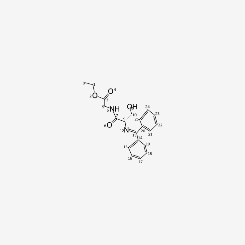 CCOC(=O)CNC(=O)[C@H](CO)N=C(c1ccccc1)c1ccccc1